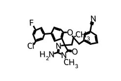 CN1C(=O)C2(C[C@@](C)(Cc3cccc(C#N)c3)Oc3ccc(-c4cc(F)cc(Cl)c4)cc32)N=C1N